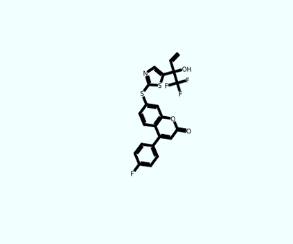 C=CC(O)(c1cnc(Sc2ccc3c(-c4ccc(F)cc4)cc(=O)oc3c2)s1)C(F)(F)F